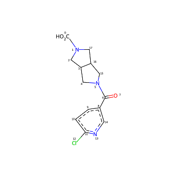 O=C(O)N1CC2CN(C(=O)c3ccc(Cl)nc3)CC2C1